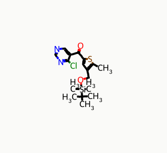 Cc1sc(C(=O)c2cncnc2Cl)cc1CO[Si](C)(C)C(C)(C)C